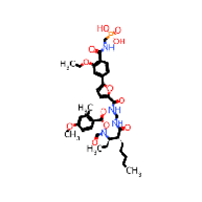 CCCCC[C@@H](C(=O)NCNC(=O)c1ccc(-c2ccc(C(=O)NCP(=O)(O)O)c(OCC)c2)o1)[C@@H](CC)N(C=O)OC(=O)c1ccc(OC)cc1C